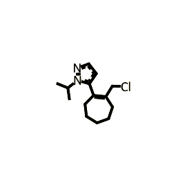 CC(C)n1nccc1C1=C(CCl)CCCCC1